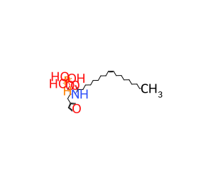 CCCCCCCC/C=C\CCCCCCCC(=O)N[C@@H](CO[PH](O)(O)O)Cc1ccoc1